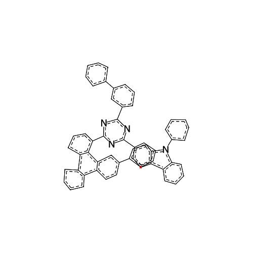 c1ccc(-c2cccc(-c3nc(-c4ccccc4)nc(-c4cccc5c6ccccc6c6ccc(-c7ccc8c(c7)c7ccccc7n8-c7ccccc7)cc6c45)n3)c2)cc1